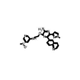 Cn1ccc(-c2nc(N)c(OCCNc3cncc([S+](C)[O-])c3)nc2-c2ccc3ncccc3c2)n1